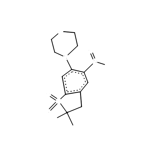 CC1(C)Cc2cc([N+](=O)[O-])c(N3CCOCC3)cc2S1(=O)=O